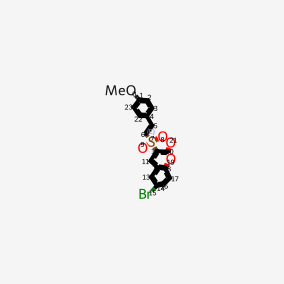 COc1ccc(/C=C/S(=O)(=O)c2cc3cc(Br)ccc3oc2=O)cc1